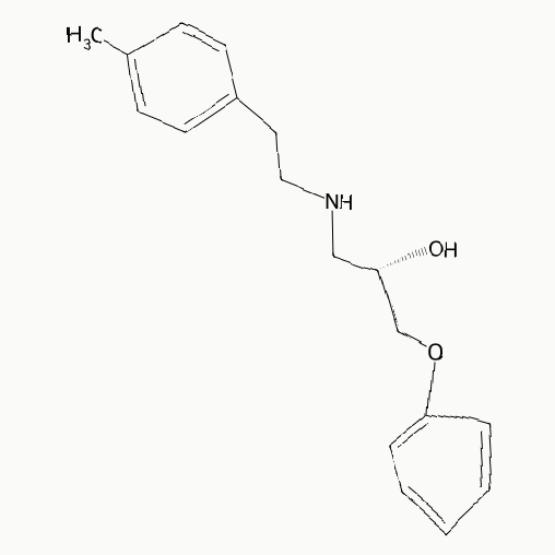 Cc1ccc(CCNC[C@H](O)COc2ccccc2)cc1